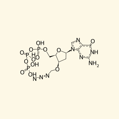 [N-]=[N+]=NCO[C@@H]1C[C@H](n2cnc3c(=O)[nH]c(N)nc32)O[C@@H]1COP(=O)(O)OP(=O)(O)OP(=O)(O)O